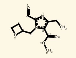 CCc1nc(C=O)n(CC2CCO2)c1C(=O)OC